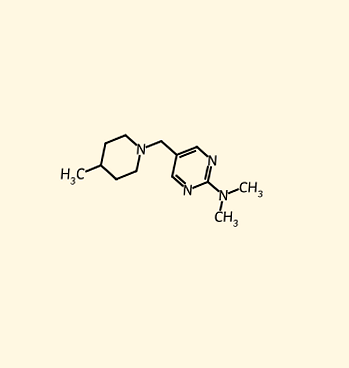 CC1CCN(Cc2cnc(N(C)C)nc2)CC1